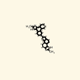 Cc1nc2c([nH]1)-c1ccc3cc(-c4ccc5c(c4)c4cnncc4c4nc(C)[nH]c54)sc3c1CC2